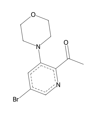 CC(=O)c1ncc(Br)cc1N1CCOCC1